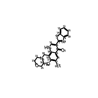 CCc1cc2c(=O)c(-c3nc4ccccc4s3)c[nH]c2c(CN2CCOCC2)c1O